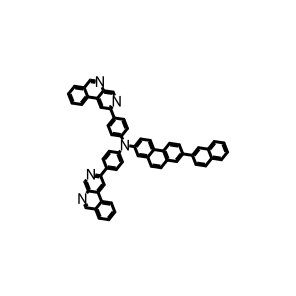 c1ccc2cc(-c3ccc4c(ccc5cc(N(c6ccc(-c7cc8c(cn7)ncc7ccccc78)cc6)c6ccc(-c7cc8c(cn7)ncc7ccccc78)cc6)ccc54)c3)ccc2c1